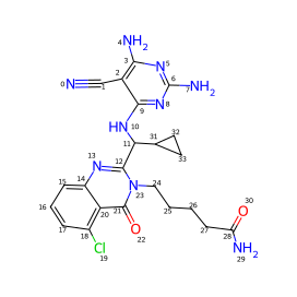 N#Cc1c(N)nc(N)nc1NC(c1nc2cccc(Cl)c2c(=O)n1CCCCC(N)=O)C1CC1